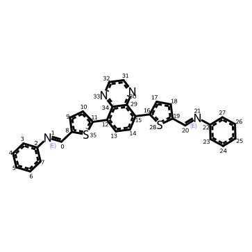 C(=N\c1ccccc1)/c1ccc(-c2ccc(-c3ccc(/C=N/c4ccccc4)s3)c3nccnc23)s1